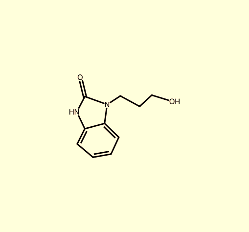 O=c1[nH]c2ccccc2n1CCCO